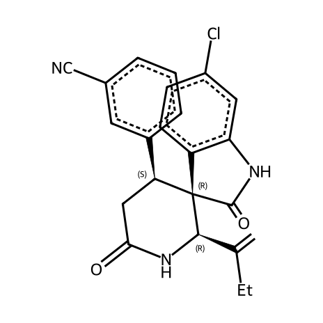 C=C(CC)[C@H]1NC(=O)C[C@@H](c2cccc(C#N)c2)[C@]12C(=O)Nc1cc(Cl)ccc12